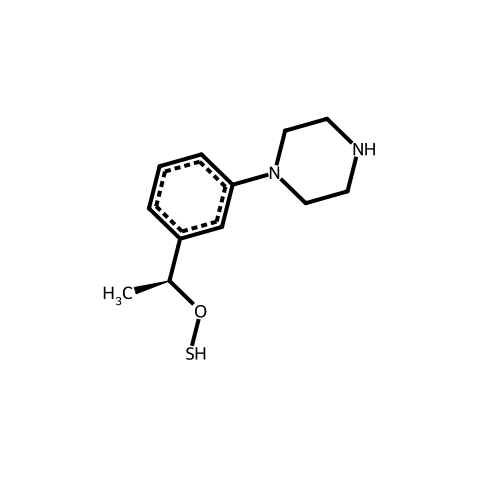 C[C@H](OS)c1cccc(N2CCNCC2)c1